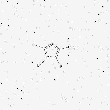 O=C(O)c1sc(Cl)c(Br)c1F